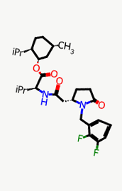 CC(C)[C@H](NC(=O)C[C@@H]1CCC(=O)N1Cc1cccc(F)c1F)C(=O)O[C@H]1C[C@@H](C)CC[C@@H]1C(C)C